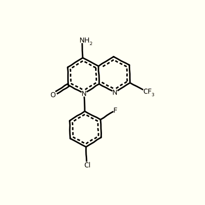 Nc1cc(=O)n(-c2ccc(Cl)cc2F)c2nc(C(F)(F)F)ccc12